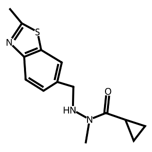 Cc1nc2ccc(CNN(C)C(=O)C3CC3)cc2s1